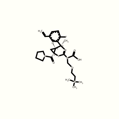 C=Cc1ccc(F)c([C@@]2(C)N=C(N(COCC[Si](C)(C)C)C(=O)O)S[C@@]3(C(=O)N4CCCC4)C[C@H]32)c1